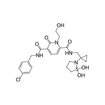 O=C(NCc1ccc(Cl)cc1)c1ccc(C(=O)NCC2(N3CCCS3(O)O)CC2)n(CCO)c1=O